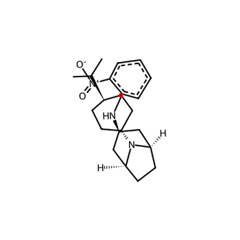 CC(C)[C@H]1CC[C@H](N2[C@@H]3CC[C@H]2C[C@@H](Nc2ccccc2[N+](=O)[O-])C3)CC1